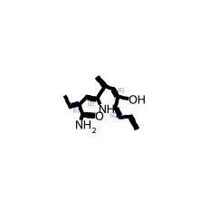 C=C/C=C\C(O)=C/C(=C)/C(N)=C/C(=C\C)C(N)=O